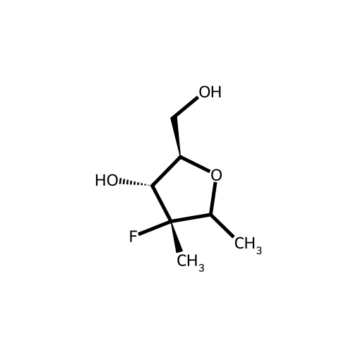 CC1O[C@H](CO)[C@@H](O)[C@@]1(C)F